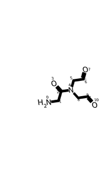 NCC(=O)N(C[C]=O)C[C]=O